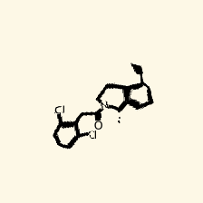 C#Cc1cccc2c1CCN(C(=O)Cc1c(Cl)cccc1Cl)[C@H]2C